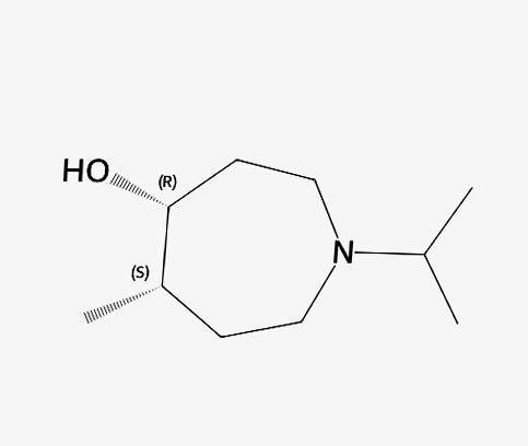 CC(C)N1CC[C@@H](O)[C@@H](C)CC1